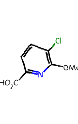 COc1nc(C(=O)O)ccc1Cl